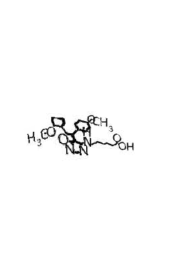 COc1ccc(-c2c(-c3ccccc3OC)oc3ncnc(NCCCCCC(=O)O)c23)cc1